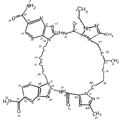 CCn1nc(C)c2c1C(=O)Nc1nc3cc(C(N)=O)ccc3n1CCCCn1c(nc3cc(C(N)=O)ccc31)NC(=O)c1cc(C)nn1CCCC(C)CC2